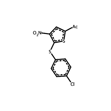 CC(=O)c1cc([N+](=O)[O-])c(Sc2ccc(Cl)cc2)s1